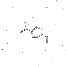 CC(=O)c1ccc(N=[N])cc1